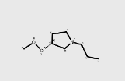 CCCN1CC[C@@H](OOC)C1